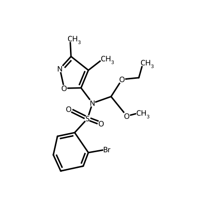 CCOC(OC)N(c1onc(C)c1C)S(=O)(=O)c1ccccc1Br